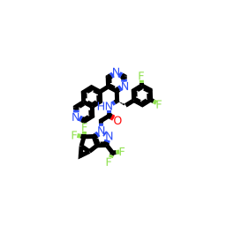 O=C(Cn1nc(C(F)F)c2c1C(F)(F)C1CC21)N[C@@H](Cc1cc(F)cc(F)c1)c1ncncc1-c1ccc2cnccc2c1